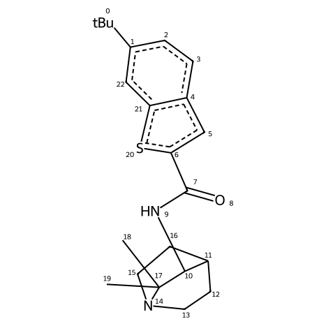 CC(C)(C)c1ccc2cc(C(=O)NC3C4CCN(CC4)C3(C)C)sc2c1